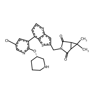 CC1(C)C2C(=O)N(Cc3cc4nccc(-c5cc(Cl)cnc5O[C@H]5CCCNC5)c4s3)C(=O)C21